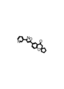 O=C1CC2(CCCC2)Oc2ccc(-c3cc(-c4cccnc4)no3)cc21